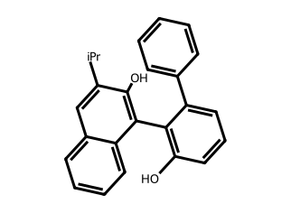 CC(C)c1cc2ccccc2c(-c2c(O)cccc2-c2ccccc2)c1O